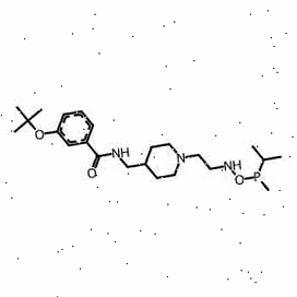 CC(C)P(C)ONCCN1CCC(CNC(=O)c2cccc(OC(C)(C)C)c2)CC1